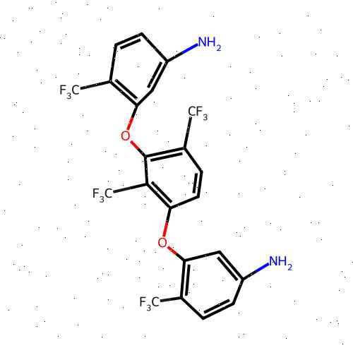 Nc1ccc(C(F)(F)F)c(Oc2ccc(C(F)(F)F)c(Oc3cc(N)ccc3C(F)(F)F)c2C(F)(F)F)c1